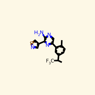 Cc1ccc(C(C)C(F)(F)F)cc1-c1cnc(N)c(-c2cnsc2)n1